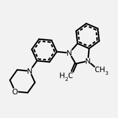 C=C1N(C)c2ccccc2N1c1cccc(N2CCOCC2)c1